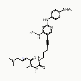 CCCNc1nc(Nc2ccc(NC(C)=O)cc2)ncc1C#CCCCNC(=O)[C@H](C)N(C)C(=O)/C=C/CN(C)C